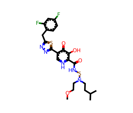 COCCN(CCC(C)C)SNC(=O)c1[nH]cc(-c2nnc(Cc3ccc(F)cc3F)s2)c(=O)c1O